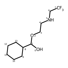 OC(OCCNCC(F)(F)F)C1CCCCC1